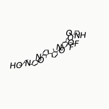 Cc1c(-c2nc3cc(CN4CCC4CO)ccc3o2)cccc1-c1cccc(-c2nc3cc(COC(=O)[C@@H]4CCCN4)c(OC(F)F)cc3o2)c1C